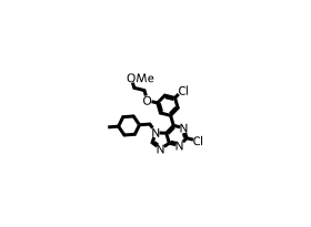 COCCOc1cc(Cl)cc(-c2nc(Cl)nc3ncn(CC4CCC(C)CC4)c23)c1